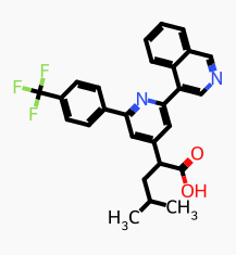 CC(C)CC(C(=O)O)c1cc(-c2ccc(C(F)(F)F)cc2)nc(-c2cncc3ccccc23)c1